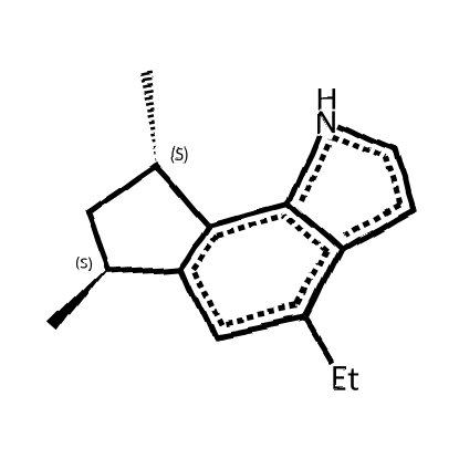 CCc1cc2c(c3[nH]ccc13)[C@@H](C)C[C@@H]2C